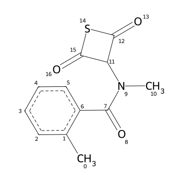 Cc1ccccc1C(=O)N(C)C1C(=O)SC1=O